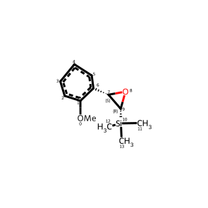 COc1ccccc1[C@@H]1O[C@@H]1[Si](C)(C)C